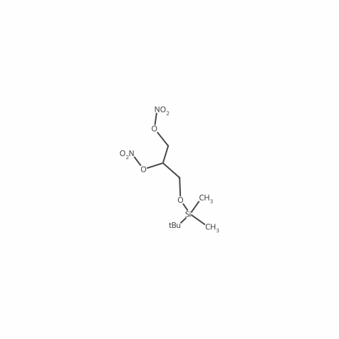 CC(C)(C)[Si](C)(C)OCC(CO[N+](=O)[O-])O[N+](=O)[O-]